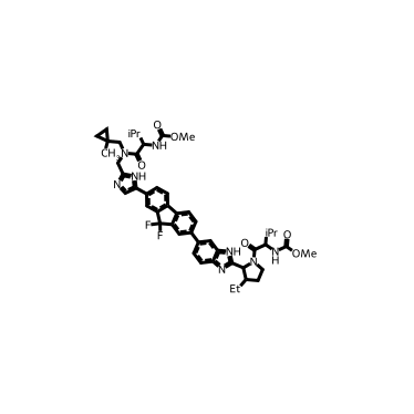 CCC1CCN(C(=O)C(NC(=O)OC)C(C)C)C1c1nc2ccc(-c3ccc4c(c3)C(F)(F)c3cc(-c5cnc(CN(CC6(C)CC6)C(=O)C(NC(=O)OC)C(C)C)[nH]5)ccc3-4)cc2[nH]1